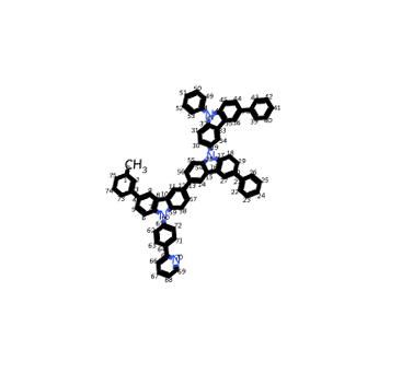 CC1C=C(c2ccc3c(c2)C2=CC(C4=CC5C6=C(CCC(c7ccccc7)=C6)N(c6ccc7c(c6)c6cc(-c8ccccc8)ccc6n7-c6ccccc6)C5C=C4)=CCC2N3c2ccc(-c3ccccn3)cc2)CCC1